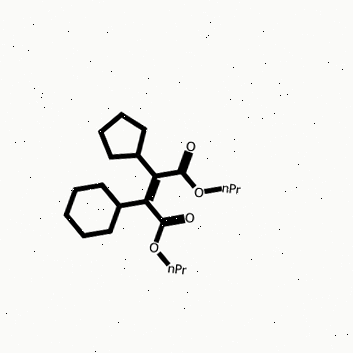 CCCOC(=O)C(=C(C(=O)OCCC)C1CCCC1)C1CCCCC1